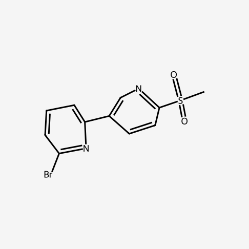 CS(=O)(=O)c1ccc(-c2cccc(Br)n2)cn1